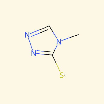 Cn1cnnc1[S]